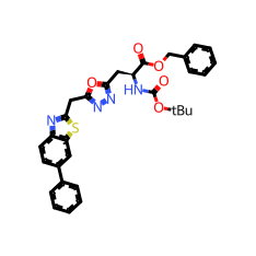 CC(C)(C)OC(=O)N[C@@H](Cc1nnc(Cc2nc3ccc(-c4ccccc4)cc3s2)o1)C(=O)OCc1ccccc1